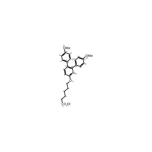 CCOC(=O)CCCCCOc1ccc(-c2ccc(OC)cc2)c(-c2ccc(OC)cc2)n1